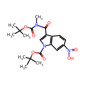 CN(C(=O)OC(C)(C)C)C(=O)c1cn(C(=O)OC(C)(C)C)c2cc([N+](=O)O)ccc12